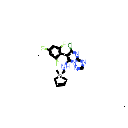 C[Si]1(CNc2c(-c3c(F)cc(F)cc3F)c(Cl)nc3ncnn23)CC=CC1